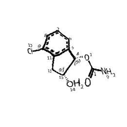 NC(=O)O[C@H]1c2cccc(Cl)c2C[C@H]1O